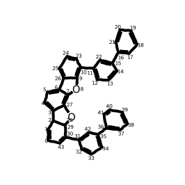 C1=CC2c3ccc4c(oc5c(-c6cccc(-c7ccccc7)c6)cccc54)c3OC2C(c2cccc(-c3ccccc3)c2)=C1